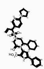 C=CC(c1ccc(N2CCCC2)nc1)S(=O)(=O)N1CC(=O)N(c2cc(-c3ccccc3)sc2C(=O)O)C(C2CCCCC2)C1